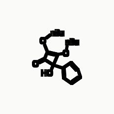 CCCCOC1=C(OCCCC)C(O)(c2ccccc2)C1=O